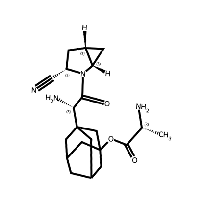 C[C@@H](N)C(=O)OC12CC3CC(C1)CC([C@H](N)C(=O)N1[C@H](C#N)C[C@@H]4C[C@@H]41)(C3)C2